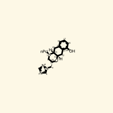 CCCN1C[C@@H](Cn2cncn2)O[C@@H]2Cc3c(O)cccc3C[C@H]21